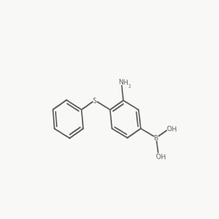 Nc1cc(B(O)O)ccc1Sc1ccccc1